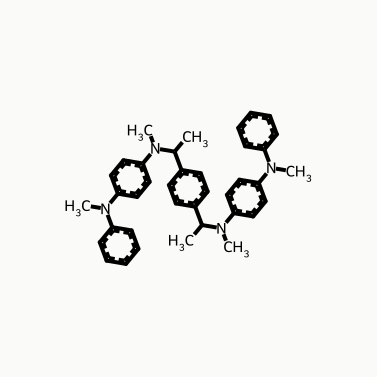 CC(c1ccc(C(C)N(C)c2ccc(N(C)c3ccccc3)cc2)cc1)N(C)c1ccc(N(C)c2ccccc2)cc1